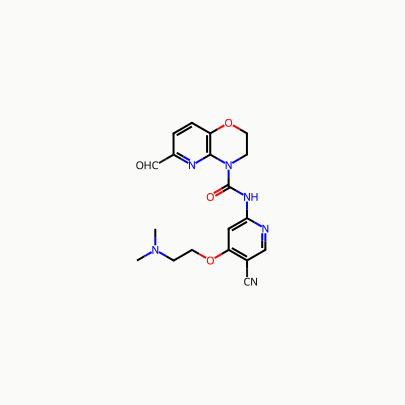 CN(C)CCOc1cc(NC(=O)N2CCOc3ccc([13CH]=O)nc32)ncc1C#N